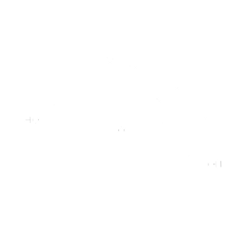 COc1cc(OC)c(-c2oc3cc(OC)c(O)c(O)c3c(=O)c2OC)cc1O